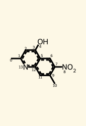 Cc1cc(O)c2cc([N+](=O)[O-])c(C)cc2n1